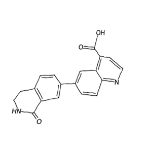 O=C1NCCc2ccc(-c3ccc4nccc(C(=O)O)c4c3)cc21